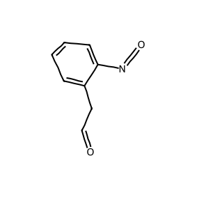 O=CCc1ccccc1N=O